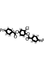 CCCc1ccc(C(=O)Oc2ccc(OC(=O)c3ccc(CCC)cc3)c(Cl)c2)cc1